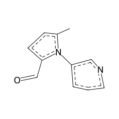 Cc1ccc(C=O)n1-c1cccnc1